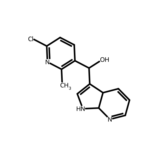 Cc1nc(Cl)ccc1C(O)C1=CNC2N=CC=CC12